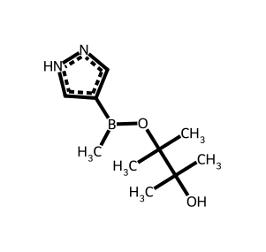 CB(OC(C)(C)C(C)(C)O)c1cn[nH]c1